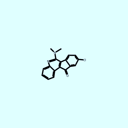 CN(C)c1nc2ccccc2c2c1-c1ccc(Cl)cc1C2=O